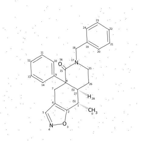 C[C@@H]1c2oncc2CC2(c3ccccc3)C(=O)N(Cc3ccccc3)CC[C@@H]12